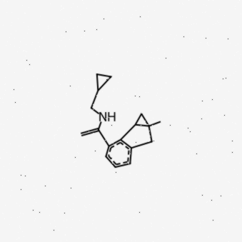 C=C(NCC1CC1)c1cccc2c1C1CC1(C)C2